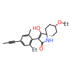 CC#Cc1cc(C)c(C2=C(O)[C@]3(CC[C@H](OCC)CC3)NC2=O)c(CC)c1